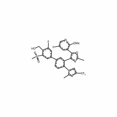 COc1ncc(F)cc1-c1oc(C)nc1-c1cc(-c2cc(F)c(CO)c(S(C)(=O)=O)c2)ccc1-n1cc(C(F)(F)F)nc1C